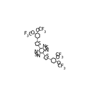 FC(F)(F)Oc1ccc(-c2ccc(-c3c4c(c(-c5ccc(-c6ccc(OC(F)(F)F)c(OC(F)(F)F)c6)s5)c5nsnc35)N=S=N4)s2)cc1OC(F)(F)F